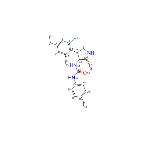 CCc1cc(F)c(C2CNC(=O)C2NC(=O)Nc2ccc(F)cc2)c(F)c1